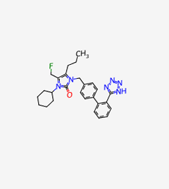 CCCc1c(CF)n(C2CCCCC2)c(=O)n1Cc1ccc(-c2ccccc2-c2nnn[nH]2)cc1